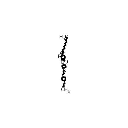 CCCCCCCCCCOc1ccc(C(=O)Oc2ccc(OCCC[C@H]3CC[C@H](CCCCC)CC3)cc2)cc1F